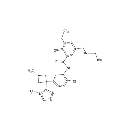 CC1CC(c2ccc(Cl)c(NC(=O)c3cc(CNCC(C)(C)C)cn(CC(F)(F)F)c3=O)c2)(c2nncn2C)C1